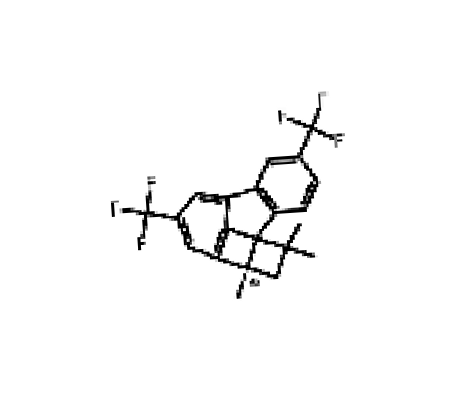 CC1(C)C[C@]2(C)c3cc(C(F)(F)F)cc4c3C12c1ccc(C(F)(F)F)cc1-4